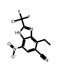 CCc1c(C#N)cc([N+](=O)[O-])c2[nH]c(C(F)(F)Cl)nc12